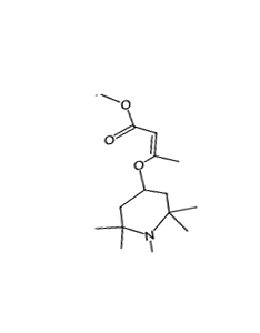 [CH2]OC(=O)/C=C(/C)OC1CC(C)(C)N(C)C(C)(C)C1